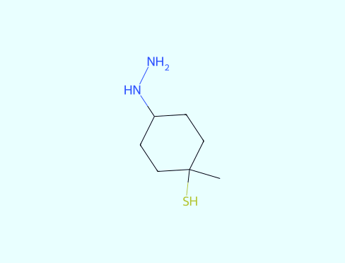 CC1(S)CCC(NN)CC1